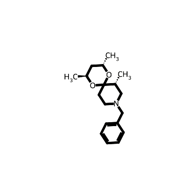 C[C@@H]1CN(Cc2ccccc2)CCC12O[C@@H](C)C[C@H](C)O2